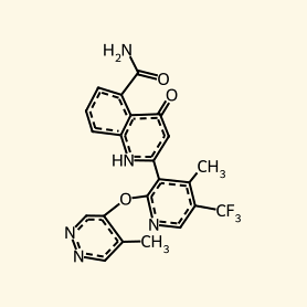 Cc1cnncc1Oc1ncc(C(F)(F)F)c(C)c1-c1cc(=O)c2c(C(N)=O)cccc2[nH]1